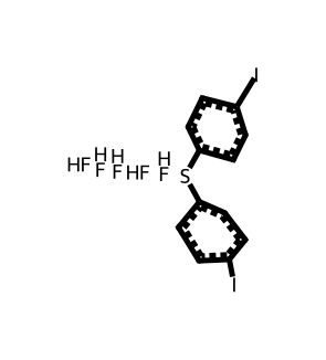 F.F.F.F.F.Ic1ccc(Sc2ccc(I)cc2)cc1